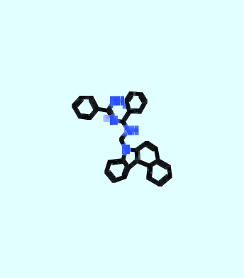 N/C(=N\C(NCn1c2ccccc2c2c3ccccc3ccc21)c1ccccc1)c1ccccc1